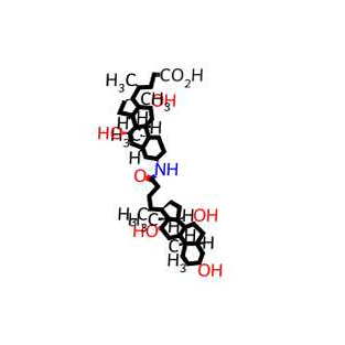 C[C@H](CCC(=O)N[C@H]1CC[C@@]2(C)[C@@H](C1)C[C@@H](O)[C@@H]1[C@@H]2C[C@H](O)[C@]2(C)[C@@H]([C@H](C)CCC(=O)O)CC[C@@H]12)[C@H]1CC[C@H]2[C@@H]3[C@H](O)C[C@@H]4C[C@H](O)CC[C@]4(C)[C@H]3CC(O)[C@]12C